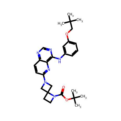 CC(C)(C)COc1cccc(Nc2ncnc3ccc(N4CC5(CCN5C(=O)OC(C)(C)C)C4)nc23)c1